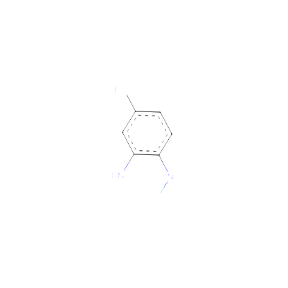 Cc1ccc(NF)c(N)c1